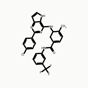 CC1=CC=C(C(=O)Nc2cccc(C(F)(F)F)c2)CC1Nc1nc(-c2ccc(Cl)cc2)nc2cc[nH]c12